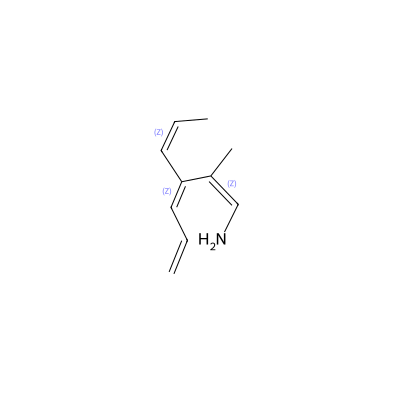 C=C/C=C(/C=C\C)C(\C)=C/N